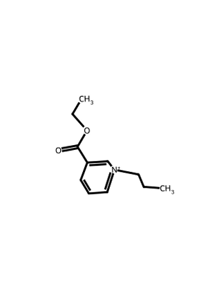 CCC[n+]1cccc(C(=O)OCC)c1